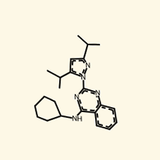 CC(C)c1cc(C(C)C)n(-c2nc(NC3CCCCC3)c3ccccc3n2)n1